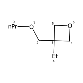 [CH2]CCOCC1(CC)COC1